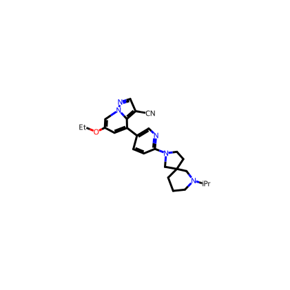 CCOc1cc(-c2ccc(N3CCC4(CCCN(C(C)C)C4)C3)nc2)c2c(C#N)cnn2c1